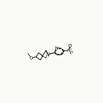 COC1CC2(C1)CN(c1ccc([N+](=O)[O-])cn1)C2